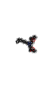 CC1(C)c2ccccc2-c2cc(-c3ccc(-c4ccc(N(c5ccc(-c6cccc7c6oc6ccccc67)cc5)c5cccc(-c6cccc7c6oc6ccccc67)c5)cc4)cc3)ccc21